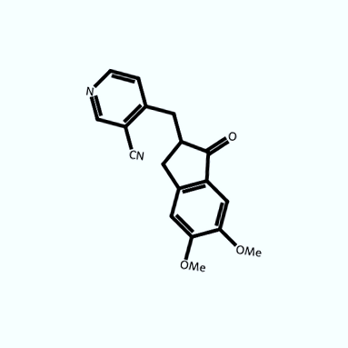 COc1cc2c(cc1OC)C(=O)C(Cc1ccncc1C#N)C2